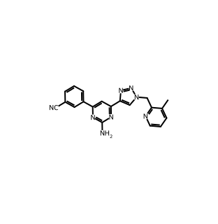 Cc1cccnc1Cn1cc(-c2cc(-c3cccc(C#N)c3)nc(N)n2)nn1